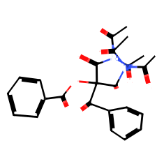 CC(=O)N(C(C)=O)C(=O)C(OC(=O)c1ccccc1)(C(=O)c1ccccc1)C(=O)N(C(C)=O)C(C)=O